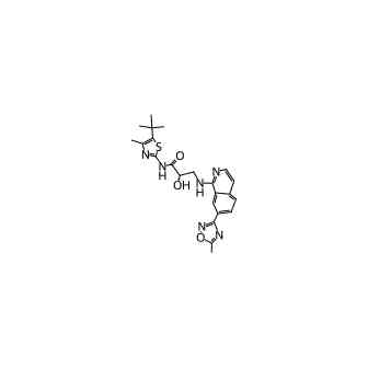 Cc1nc(-c2ccc3ccnc(NC[C@@H](O)C(=O)Nc4nc(C)c(C(C)(C)C)s4)c3c2)no1